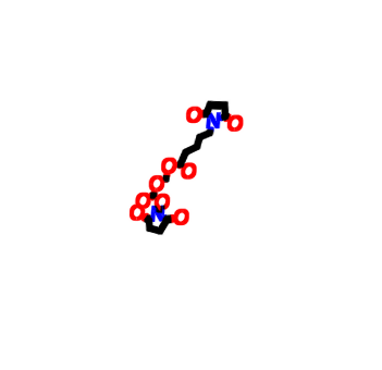 O=C(CCCCN1C(=O)C=CC1=O)OCOC(=O)ON1C(=O)CCC1=O